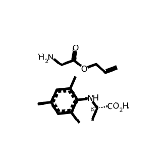 C=CCOC(=O)CN.Cc1cc(C)c(N[C@@H](C)C(=O)O)c(C)c1